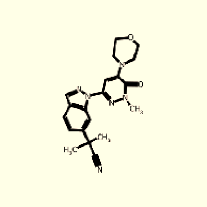 Cn1nc(-n2ncc3ccc(C(C)(C)C#N)cc32)cc(N2CCOCC2)c1=O